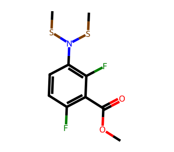 COC(=O)c1c(F)ccc(N(SC)SC)c1F